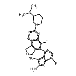 CN(C)C1CCCN(c2ncc3c4c(c(-c5ncc(F)c6sc(N)c(C#N)c56)c(F)c3n2)COC4)C1